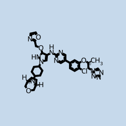 C[C@@H](Cn1cnnn1)Oc1cc(-c2cnc(NC3=CN(C4CCC(N5[C@@H]6CC[C@H]5COC6)CC4)NC3OCc3ncco3)nc2)ccc1Cl